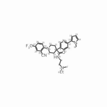 CCN(C)CCNC(=O)C1(c2ccc(-c3cccn3C)nc2)CCN(c2ccc(C(F)(F)F)cc2C#N)CC1